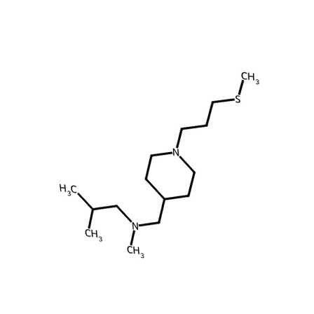 CSCCCN1CCC(CN(C)CC(C)C)CC1